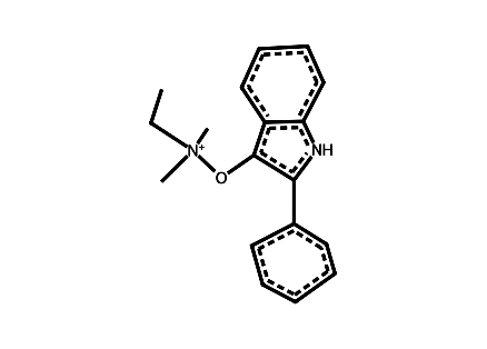 CC[N+](C)(C)Oc1c(-c2ccccc2)[nH]c2ccccc12